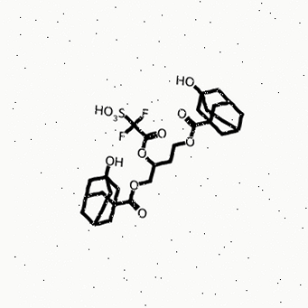 O=C(OCCC(COC(=O)C12CC3CC(CC(O)(C3)C1)C2)OC(=O)C(F)(F)S(=O)(=O)O)C12CC3CC(CC(O)(C3)C1)C2